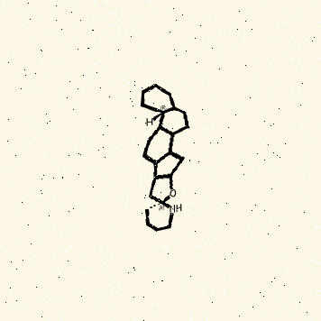 C1CC[C@@]2(CC3C(CC4C3CCC3C4CCC4CCCC[C@H]43)O2)NC1